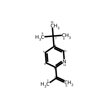 C=C(C)c1ccc(C(C)(C)C)cn1